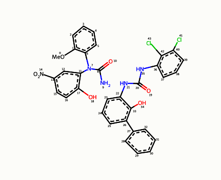 COc1ccccc1N(C(N)=O)c1cc([N+](=O)[O-])ccc1O.O=C(Nc1cccc(-c2ccccc2)c1O)Nc1cccc(Cl)c1Cl